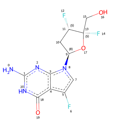 Nc1nc2c(c(F)cn2[C@H]2C[C@H](F)[C@@](F)(CO)O2)c(=O)[nH]1